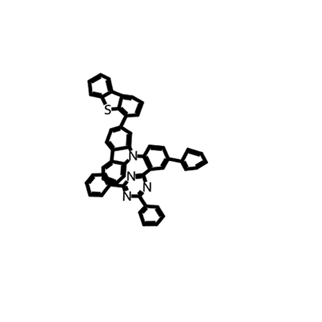 c1ccc(-c2ccc(-n3c4ccccc4c4ccc(-c5cccc6c5sc5ccccc56)cc43)c(-c3nc(-c4ccccc4)nc(-c4ccccc4)n3)c2)cc1